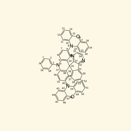 c1ccc(N2c3ccc(N4c5ccccc5Oc5ccccc54)cc3C3(c4ccccc4-c4nccnc43)c3cc(N4c5ccccc5Oc5ccccc54)ccc32)cc1